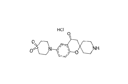 Cl.O=C1CC2(CCNCC2)Oc2ccc(N3CCS(=O)(=O)CC3)cc21